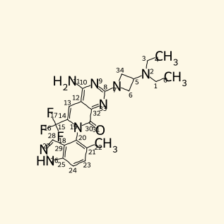 CCN(CC)C1CN(c2nc(N)c3cc(C(F)(F)F)n(-c4c(C)ccc5[nH]ncc45)c(=O)c3n2)C1